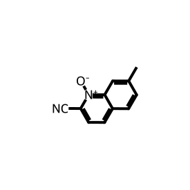 Cc1ccc2ccc(C#N)[n+]([O-])c2c1